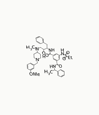 CCS(=O)(=O)Nc1cc(C(=O)NC(C)c2ccccc2)cc(C(=O)NC(Cc2ccccc2)C(O)CN(C)C2CCN(Cc3cccc(OC)c3)CC2)c1